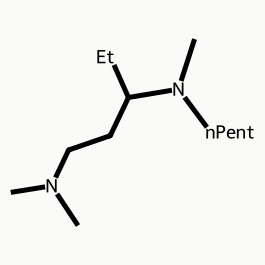 CCCCCN(C)C(CC)CCN(C)C